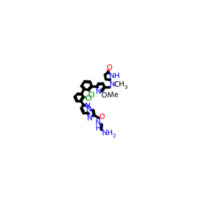 COc1nc(-c2cccc(-c3cccc(-c4ccc5nc(C(=O)NCCN)cn5n4)c3Cl)c2Cl)ccc1CN(C)[C@H]1CCC(=O)N1